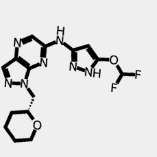 FC(F)Oc1cc(Nc2cnc3cnn(C[C@H]4CCCCO4)c3n2)n[nH]1